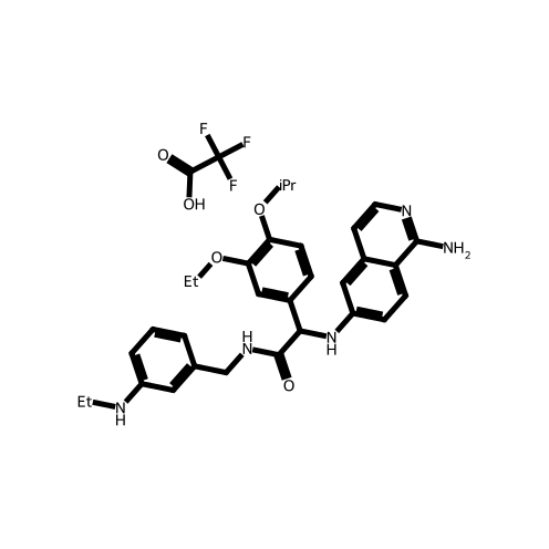 CCNc1cccc(CNC(=O)C(Nc2ccc3c(N)nccc3c2)c2ccc(OC(C)C)c(OCC)c2)c1.O=C(O)C(F)(F)F